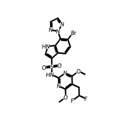 COc1nc(NS(=O)(=O)c2c[nH]c3c(-n4nccn4)c(Br)ccc23)nc(OC)c1CC(F)F